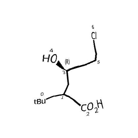 CC(C)(C)C(C(=O)O)[C@@H](O)CCl